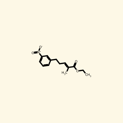 CCOC(=O)/C(C)=C/CCc1cccc([N+](=O)[O-])c1